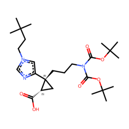 CC(C)(C)CCn1cnc([C@]2(CCCN(C(=O)OC(C)(C)C)C(=O)OC(C)(C)C)C[C@@H]2C(=O)O)c1